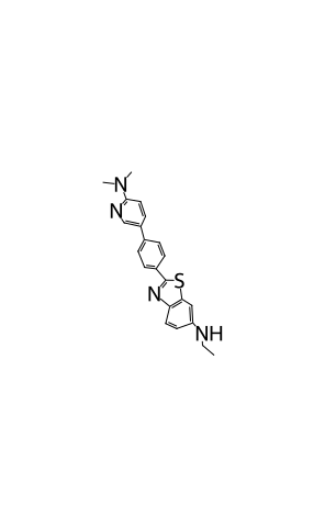 CCNc1ccc2nc(-c3ccc(-c4ccc(N(C)C)nc4)cc3)sc2c1